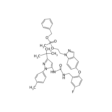 Cc1ccc(-n2nc(C(C)(C)C)cc2NC(=O)NCc2cc(F)ccc2Oc2ccc3c(cnn3CCOP(C)(=O)OCc3ccccc3)c2)cc1